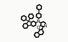 c1ccc(-c2ccc(N(c3ccc4c(c3)C(c3ccccc3)(c3ccccc3)c3ccccc3-4)c3ccnc4c3oc3c5ccccc5ccc43)cc2)cc1